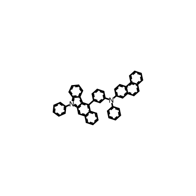 c1ccc(N(c2cccc(-c3c4ccccc4cc4c3c3ccccc3n4-c3ccccc3)c2)c2ccc3c(ccc4ccccc43)c2)cc1